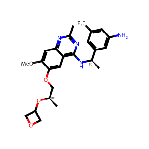 COc1cc2nc(C)nc(N[C@H](C)c3cc(N)cc(C(F)(F)F)c3)c2cc1OC[C@@H](C)OC1COC1